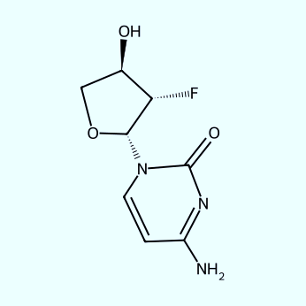 Nc1ccn([C@@H]2OC[C@@H](O)[C@@H]2F)c(=O)n1